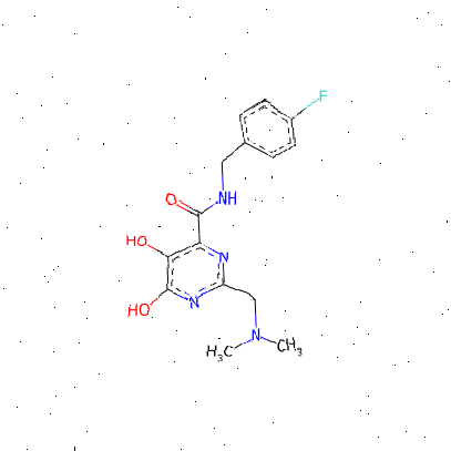 CN(C)Cc1nc(O)c(O)c(C(=O)NCc2ccc(F)cc2)n1